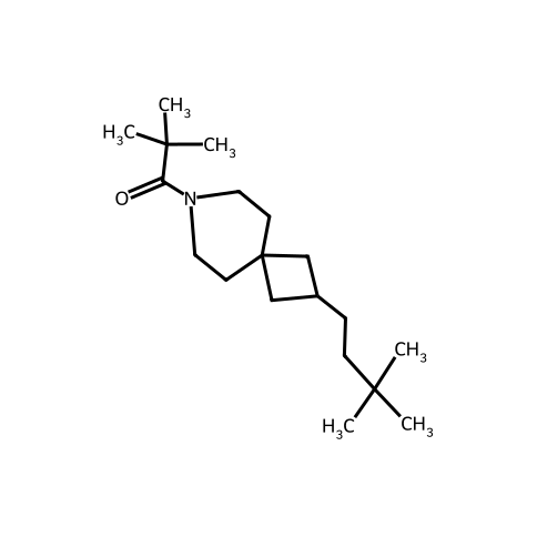 CC(C)(C)CCC1CC2(CCN(C(=O)C(C)(C)C)CC2)C1